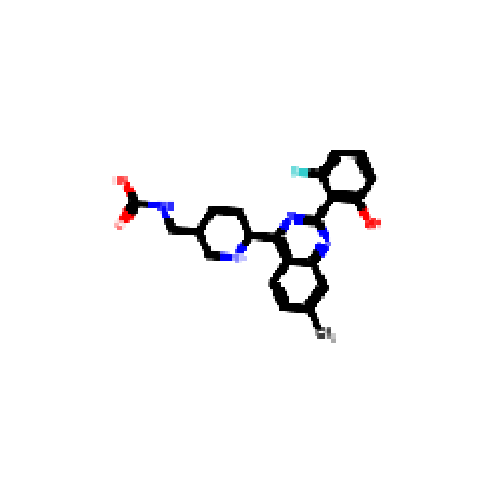 Cc1ccc2c(C3CCC(CNC(=O)O)CN3)nc(-c3c(O)cccc3F)nc2c1